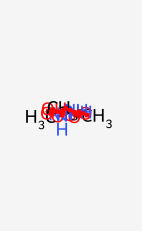 COc1ccc(C(=O)NC(=O)Nc2ccc3c(c2)NC(=O)/C3=C\c2[nH]c(C)c(C(=O)O)c2C)cc1